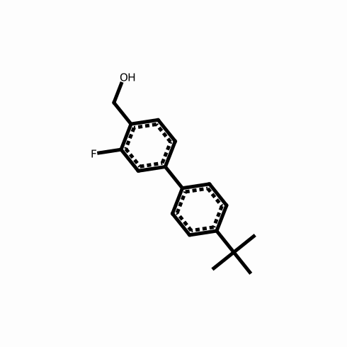 CC(C)(C)c1ccc(-c2ccc(CO)c(F)c2)cc1